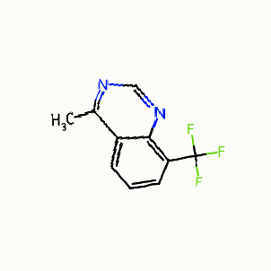 Cc1ncnc2c(C(F)(F)F)cccc12